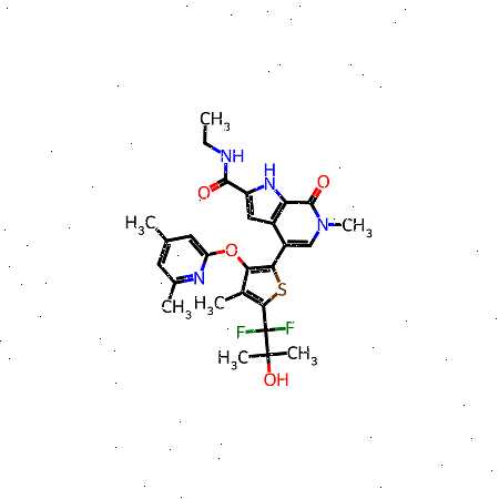 CCNC(=O)c1cc2c(-c3sc(C(F)(F)C(C)(C)O)c(C)c3Oc3cc(C)cc(C)n3)cn(C)c(=O)c2[nH]1